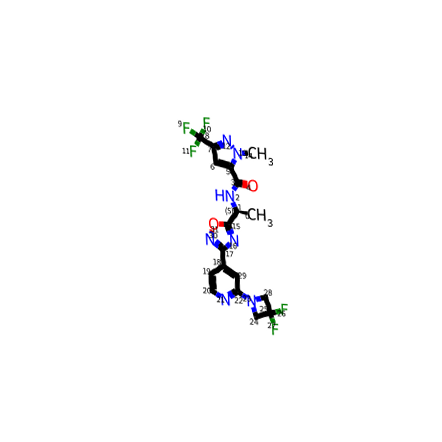 C[C@H](NC(=O)c1cc(C(F)(F)F)nn1C)c1nc(-c2ccnc(N3CC(F)(F)C3)c2)no1